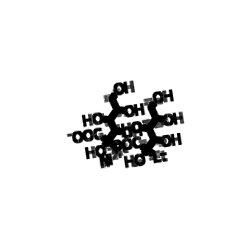 CCC(O)(C(=O)[O-])C(O)C(O)C(O)CO.CCC(O)(C(=O)[O-])C(O)C(O)C(O)CO.[Ni+2]